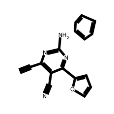 C#Cc1nc(N)nc(-c2ccco2)c1C#N.c1ccccc1